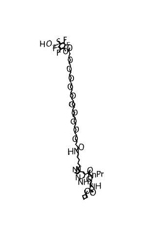 CCCN(OCCNC(=O)OC1CCC1)C(=O)C1=Cc2c(cnn2CCCCCNC(=O)CCOCCOCCOCCOCCOCCOCCOCCOCCOCCOCCC(=O)Oc2c(F)c(F)c(S(=O)(=O)O)c(F)c2F)N=C(N)C1